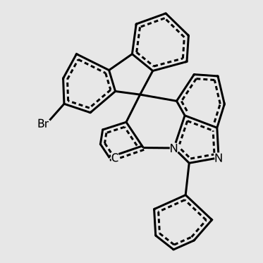 Brc1ccc2c(c1)C1(c3ccccc3-2)c2ccccc2-n2c(-c3ccccc3)nc3cccc1c32